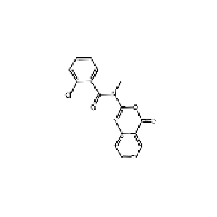 CN(C(=O)c1ccccc1Cl)c1nc2ccccc2c(=O)o1